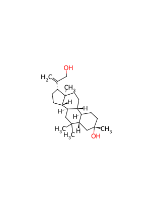 C=C(CO)[C@H]1CC[C@H]2[C@@H]3CC(C)(C)[C@H]4C[C@@](C)(O)CC[C@@H]4[C@H]3CC[C@]12C